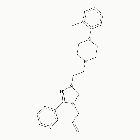 C=CCN1CN(CCN2CCN(c3ccccc3C)CC2)N=C1c1cccnc1